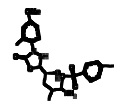 COc1ccc(N2NC([C@@H](O)CC(C)C(N)OS(=O)(=O)c3ccc(C)cc3)OC2=O)c(C)c1